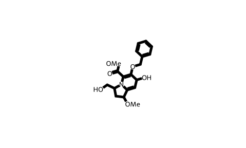 COC(=O)C1=C(OCc2ccccc2)C(O)C=C2C(OC)CC(CO)N21